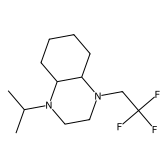 CC(C)N1CCN(CC(F)(F)F)C2CCCCC21